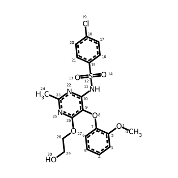 COc1ccccc1Oc1c(NS(=O)(=O)c2ccc(Cl)cc2)nc(C)nc1OCCO